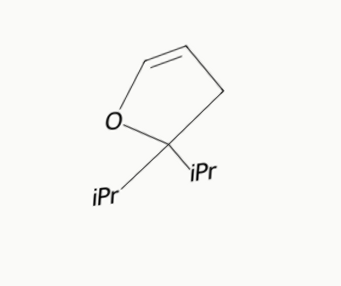 CC(C)C1(C(C)C)CC=CO1